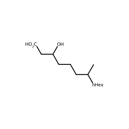 CCCCCCC(C)CCCC(O)CC(=O)O